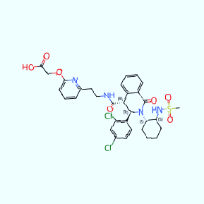 CS(=O)(=O)N[C@H]1CCCC[C@@H]1N1C(=O)c2ccccc2[C@@H](C(=O)NCCc2cccc(OCC(=O)O)n2)[C@@H]1c1ccc(Cl)cc1Cl